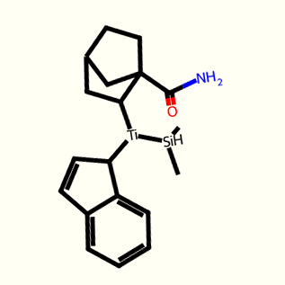 C[SiH](C)[Ti]([CH]1C=Cc2ccccc21)[CH]1CC2CCC1(C(N)=O)C2